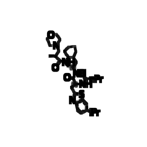 C=C(CN1CCOCC1)C(=O)NC[C@H](CC1CCCCC1)NC(=O)[C@H](Cc1nc2ccc(C(C)C)cc2s1)NC(=O)CCC